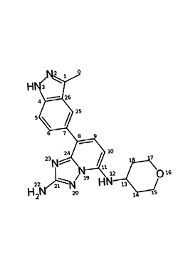 Cc1n[nH]c2ccc(-c3ccc(NC4CCOCC4)n4nc(N)nc34)cc12